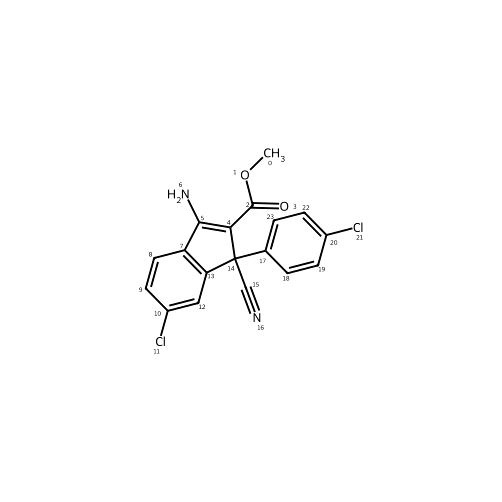 COC(=O)C1=C(N)c2ccc(Cl)cc2C1(C#N)c1ccc(Cl)cc1